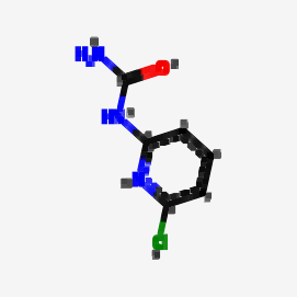 NC(=O)Nc1cccc(Cl)n1